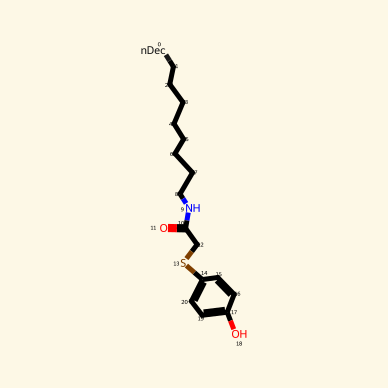 CCCCCCCCCCCCCCCCCCNC(=O)CSc1ccc(O)cc1